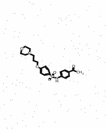 CC(=O)c1ccc(NS(=O)(=O)c2ccc(OCCCN3CCOCC3)cc2)cc1